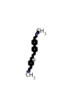 C/C=C/CCc1ccc(-c2ccc(CCCCc3ccc(CC/C=C/C)cc3F)cc2)cc1